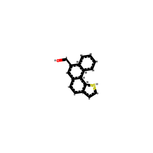 O=Cc1cc2ccc3ccsc3c2c2ccccc12